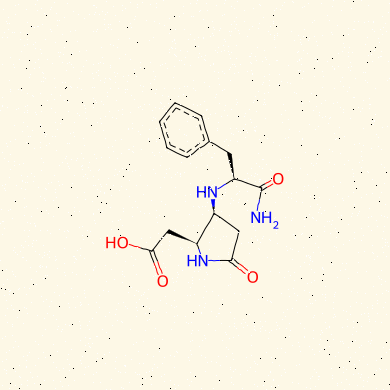 NC(=O)[C@H](Cc1ccccc1)N[C@H]1CC(=O)N[C@H]1CC(=O)O